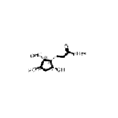 CCCCCCC(=O)CC[C@H]1[C@@H](C=O)[C@H](O)C[C@@H]1O